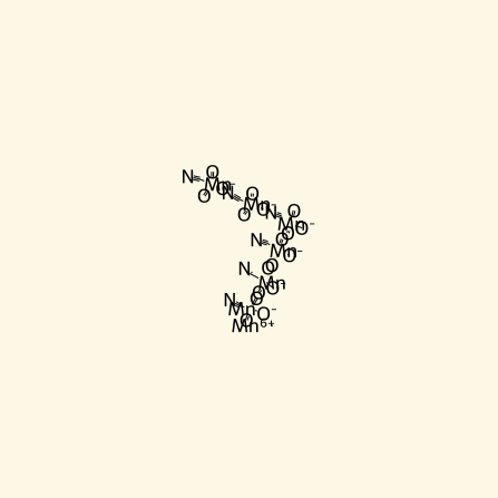 N#[C][Mn](=[O])(=[O])[O-].N#[C][Mn](=[O])(=[O])[O-].N#[C][Mn](=[O])(=[O])[O-].N#[C][Mn](=[O])(=[O])[O-].N#[C][Mn](=[O])(=[O])[O-].N#[C][Mn](=[O])(=[O])[O-].[Mn+6]